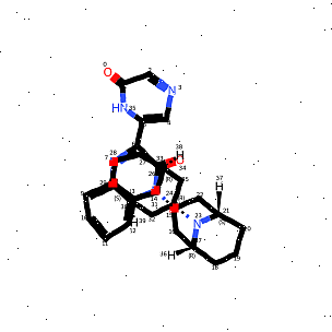 O=c1cncc(-c2nc3ccccc3n([C@H]3C[C@H]4CCC[C@@H](C3)N4[C@H]3C[C@@H]4CCC[C@@H](C4)C3)c2=O)[nH]1